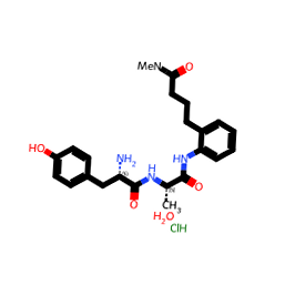 CNC(=O)CCCc1ccccc1NC(=O)[C@H](C)NC(=O)[C@@H](N)Cc1ccc(O)cc1.Cl.O